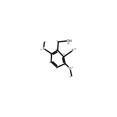 COc1ccc(SC)c(CO)c1F